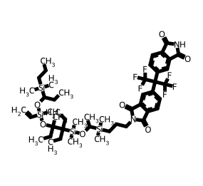 C=C[Si](C)(OC(CC)[Si](C)(C)CCC)OC(C)(CC)C(CC)(CC)[Si](C)(C)OC(C)[Si](C)(C)CCCN1C(=O)c2ccc(C(c3ccc4c(c3)C(=O)NC4=O)(C(F)(F)F)C(F)(F)F)cc2C1=O